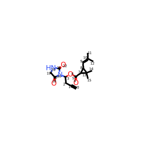 C#CCC(OC(=O)C1C(C=C(C)C)C1(C)C)N1C(=O)CNC1=O